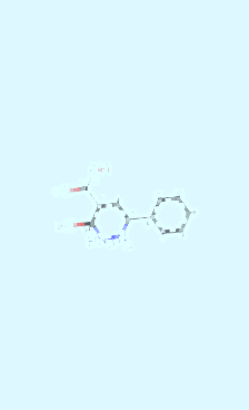 O=C(O)c1cc(-c2ccccc2)n[nH]c1=O